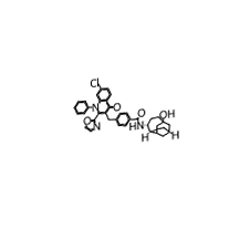 O=C(N[C@@H]1CC[C@@]2(O)CC3C[C@H](C[C@@H]31)C2)c1ccc(Cc2c(-c3ncco3)n(-c3ccccc3)c3cc(Cl)ccc3c2=O)cc1